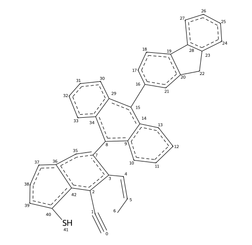 C#Cc1c(/C=C\C)c(-c2c3ccccc3c(-c3ccc4c(c3)Cc3ccccc3-4)c3ccccc23)cc2cccc(S)c12